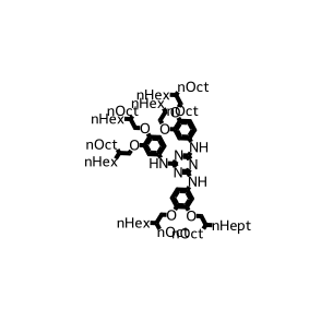 CCCCCCCCC(CCCCCC)COc1ccc(Nc2nc(Nc3ccc(OCC(CCCCCC)CCCCCCCC)c(OCC(CCCCCC)CCCCCCCC)c3)nc(Nc3ccc(OCC(CCCCCC)CCCCCCCC)c(OCC(CCCCCCC)CCCCCCCC)c3)n2)cc1OCC(CCCCCC)CCCCCCCC